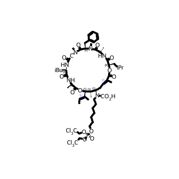 C/C=C(\C)[C@H]1OC(=O)[C@@H](C)NC(=O)[C@H]([C@H](C)CC)NC(=O)CN(C)C(=O)[C@@H](Cc2ccccc2)N(C)C(=O)[C@H](C)NC(=O)[C@@H](CC(C)C)OC(=O)/C(C)=C/C[C@H](N(CCCCCCCOP(=O)(OCC(Cl)(Cl)Cl)OCC(Cl)(Cl)Cl)C(=O)O)[C@@H]1C